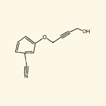 N#Cc1cccc(OCC#CCO)c1